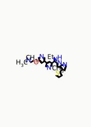 CC/N=C(/c1cc2c(-c3cccs3)ccnc2[nH]1)c1cc(-c2cncc(OCCN(C)C)c2)cnc1C